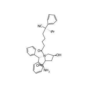 CC(C)[C@@](C#N)(CCCCC(=O)[N@@+]1(C(c2ccccc2)c2ccccc2)C[C@@H](O)CC1C(N)=O)c1ccccc1